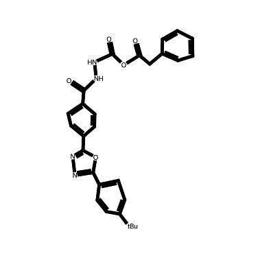 CC(C)(C)c1ccc(-c2nnc(-c3ccc(C(=O)NNC(=O)OC(=O)Cc4ccccc4)cc3)o2)cc1